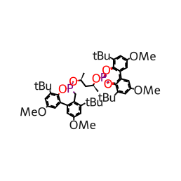 COc1cc2c(c(C(C)(C)C)c1)CP(O[C@@H](C)C[C@H](C)Op1oc3c(C(C)(C)C)cc(OC)cc3c3cc(OC)cc(C(C)(C)C)c3o1)Oc1c-2cc(OC)cc1C(C)(C)C